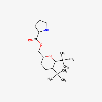 CC(C)(C)C1CCC(COC(=O)C2CCCN2)OC1C(C)(C)C